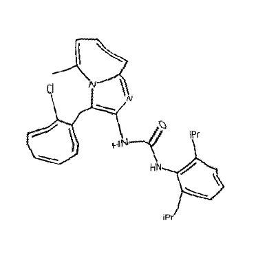 Cc1cccc2nc(NC(=O)Nc3c(C(C)C)cccc3C(C)C)c(-c3ccccc3Cl)n12